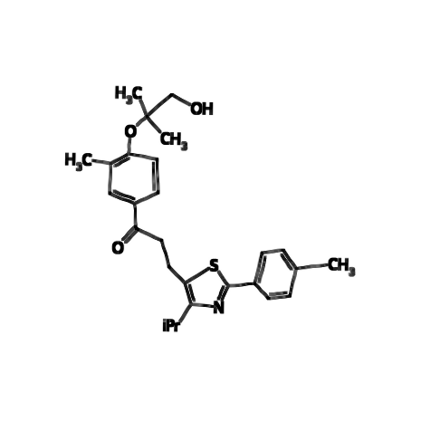 Cc1ccc(-c2nc(C(C)C)c(CCC(=O)c3ccc(OC(C)(C)CO)c(C)c3)s2)cc1